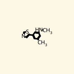 CNc1cc(C)cc(-c2cncs2)c1